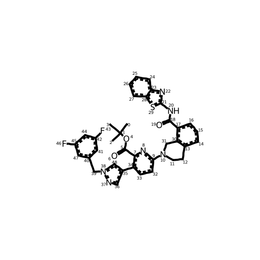 CC(C)(C)OC(=O)c1nc(N2CCc3cccc(C(=O)Nc4nc5ccccc5s4)c3C2)ccc1-c1cnn(Cc2cc(F)cc(F)c2)c1